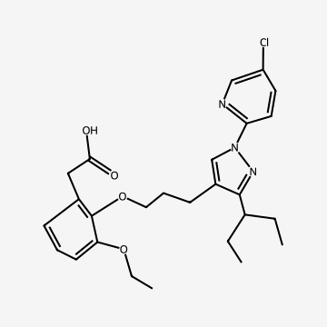 CCOc1cccc(CC(=O)O)c1OCCCc1cn(-c2ccc(Cl)cn2)nc1C(CC)CC